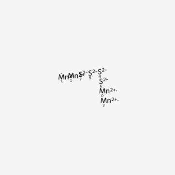 [Mn+2].[Mn+2].[Mn+2].[Mn+2].[S-2].[S-2].[S-2].[S-2]